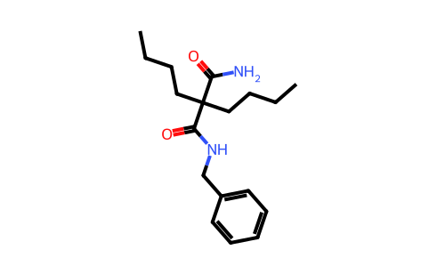 CCCCC(CCCC)(C(N)=O)C(=O)NCc1ccccc1